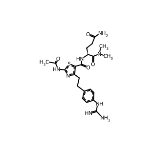 CC(=O)Nc1nc(CCc2ccc(NC(=N)N)cc2)c(C(=O)N[C@@H](CCC(N)=O)C(=O)N(C)C)s1